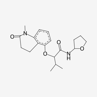 CC(C)C(Oc1cccc2c1CCC(=O)N2C)C(=O)NC1CCCO1